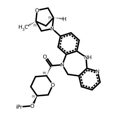 CC(C)O[C@H]1CC[C@H](C(=O)N2Cc3cccnc3Nc3ccc(N4C[C@]5(C)C[C@H]4CO5)cc32)OC1